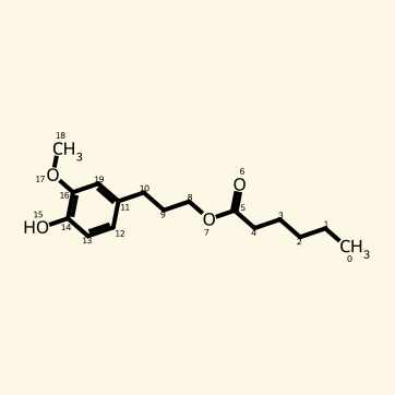 CCCCCC(=O)OCCCc1ccc(O)c(OC)c1